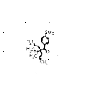 C=CCC(CC=C)(C(=O)c1ccc(SC)cc1)N(C)C